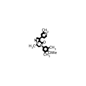 COc1c(C)cc(N2C[C@H](C)n3ncc(-c4ccnc(C)c4)c3C2=O)cc1C